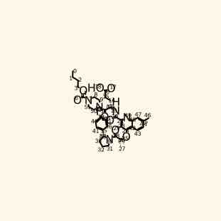 CCCCOC(=O)N1CCN(C(=O)[C@H](CCC(=O)O)NC(=O)c2cc(O[C@H](C)C(=O)N3CCC[C@H]3c3ccc(F)cc3)c3ccc(C)cc3n2)CC1